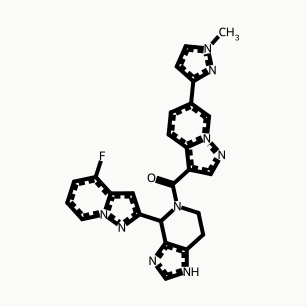 Cn1ccc(-c2ccc3c(C(=O)N4CCc5[nH]cnc5C4c4cc5c(F)cccn5n4)cnn3c2)n1